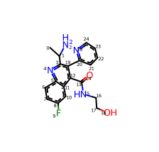 CC(N)c1nc2ccc(F)cc2c(C(=O)NCCO)c1-c1ccccn1